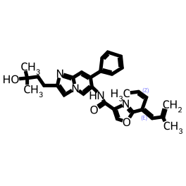 C=C(C)/C=C(\C=C/C)c1nc(C(=O)Nc2cn3cc(CCC(C)(C)O)nc3cc2-c2ccccc2)co1